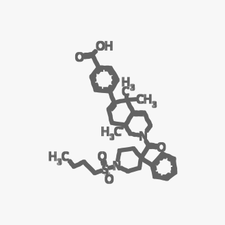 CCCCS(=O)(=O)N1CCC(C(=O)N2CC=C3C(C)(C)C(c4ccc(C(=O)O)cc4)=CC[C@]3(C)C2)(c2ccccc2)CC1